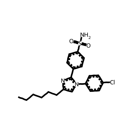 CCCCCCc1cn(-c2ccc(Cl)cc2)c(-c2ccc(S(N)(=O)=O)cc2)n1